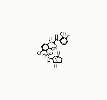 Cc1c(F)cccc1NC(=O)Nc1ccc(Cl)c(S(=O)(=O)NC2C[C@H]3CC[C@@H](C2)N3)c1O